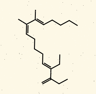 C=C(CC)C(=CCCCC=C(C)C(C)=CCCCC)CC